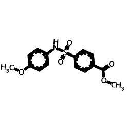 COC(=O)c1ccc(S(=O)(=O)Nc2ccc(OC)cc2)cc1